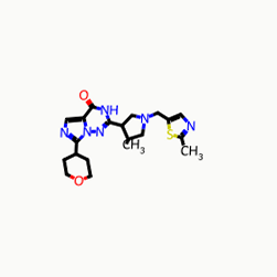 Cc1ncc(CN2CC(C)C(c3nn4c(C5CCOCC5)ncc4c(=O)[nH]3)C2)s1